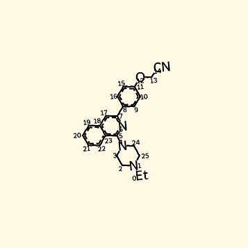 CCN1CCN(c2nc(-c3ccc(OCC#N)cc3)cc3ccccc23)CC1